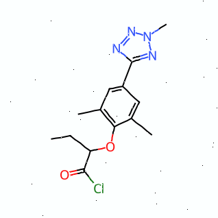 CCC(Oc1c(C)cc(-c2nnn(C)n2)cc1C)C(=O)Cl